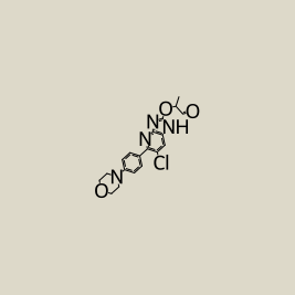 CC(C=O)Oc1nc2nc(-c3ccc(N4CCOCC4)cc3)c(Cl)cc2[nH]1